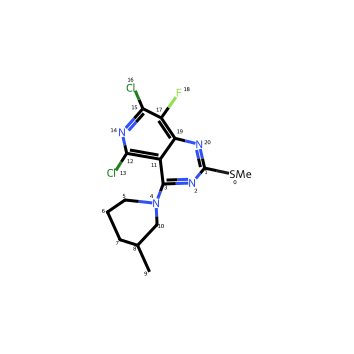 CSc1nc(N2CCCC(C)C2)c2c(Cl)nc(Cl)c(F)c2n1